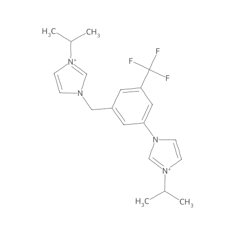 CC(C)[n+]1ccn(Cc2cc(-n3cc[n+](C(C)C)c3)cc(C(F)(F)F)c2)c1